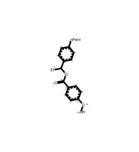 CCCCCc1ccc(C(CC)OC(=O)c2ccc(OCCC)cc2)cc1